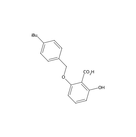 CCC(C)c1ccc(COc2cccc(O)c2C(=O)O)cc1